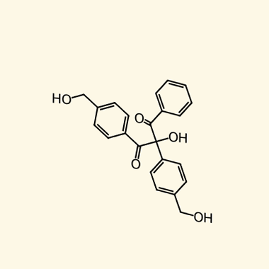 O=C(c1ccccc1)C(O)(C(=O)c1ccc(CO)cc1)c1ccc(CO)cc1